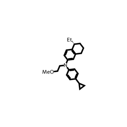 CC[C@@H]1CCCc2cc(N(CCOC)c3ccc(C4CC4)cc3)ccc21